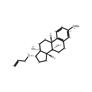 C=CCO[C@H]1CC[C@H]2[C@@H]3CCc4cc(OC)ccc4[C@H]3CC[C@]12CC